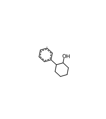 OC1CCCCC1c1c[c]ccc1